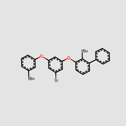 CC(C)(C)c1cccc(Oc2cc(Br)cc(Oc3cccc(-c4ccccc4)c3C(C)(C)C)c2)c1